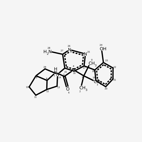 CC(C)(C)OC(=O)NC1C2CCC1CN(c1cc(-c3ccccc3O)nnc1N)C2